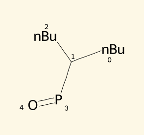 CCCCC(CCCC)P=O